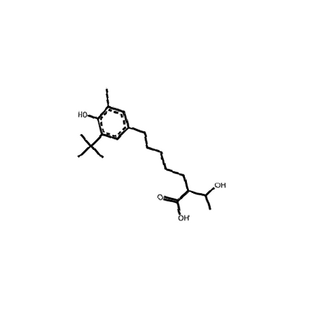 Cc1cc(CCCCCC(C(=O)O)C(C)O)cc(C(C)(C)C)c1O